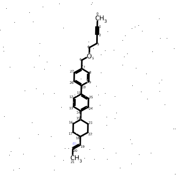 CC#CCCOCc1ccc(-c2ccc(C3CCC(/C=C/C)CC3)cc2)cc1